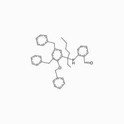 CCCCC(CC)(Pc1ccccc1C=O)c1cc(Cc2ccccc2)cc(Cc2ccccc2)c1OCc1ccccc1